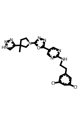 CC1(c2c[nH]nn2)CCN(c2nnc(-c3cnc(NCCc4cc(Cl)cc(Cl)c4)nc3)o2)C1